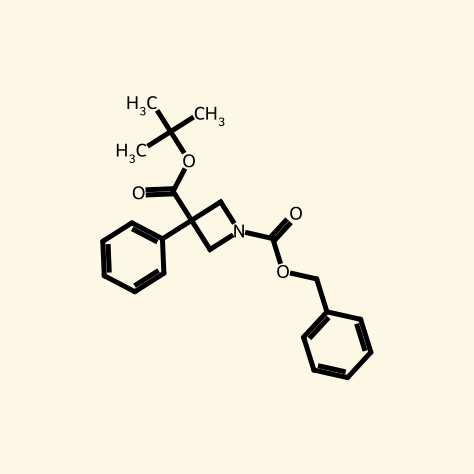 CC(C)(C)OC(=O)C1(c2ccccc2)CN(C(=O)OCc2ccccc2)C1